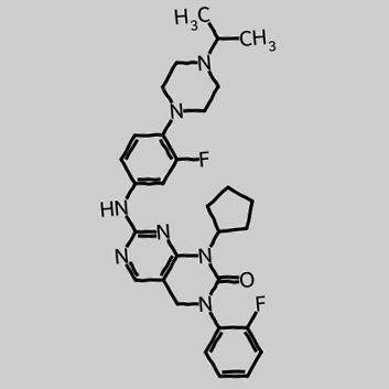 CC(C)N1CCN(c2ccc(Nc3ncc4c(n3)N(C3CCCC3)C(=O)N(c3ccccc3F)C4)cc2F)CC1